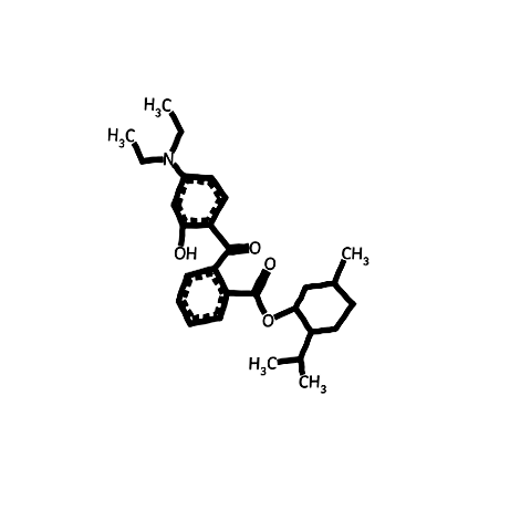 CCN(CC)c1ccc(C(=O)c2ccccc2C(=O)OC2CC(C)CCC2C(C)C)c(O)c1